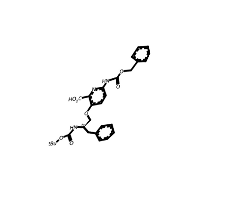 CC(C)(C)OC(=O)N[C@@H](COc1ccc(NC(=O)OCc2ccccc2)nc1C(=O)O)Cc1ccccc1